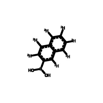 [2H]c1c([2H])c([2H])c2c([2H])c(B(O)O)c([2H])c([2H])c2c1[2H]